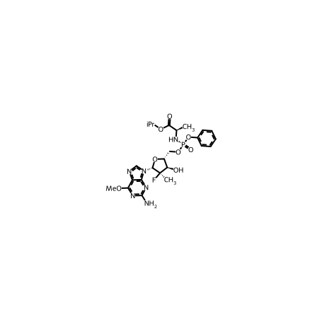 COc1nc(N)nc2c1ncn2[C@@H]1O[C@H](CO[P@@](=O)(N[C@H](C)C(=O)OC(C)C)Oc2ccccc2)[C@@H](O)[C@@]1(C)F